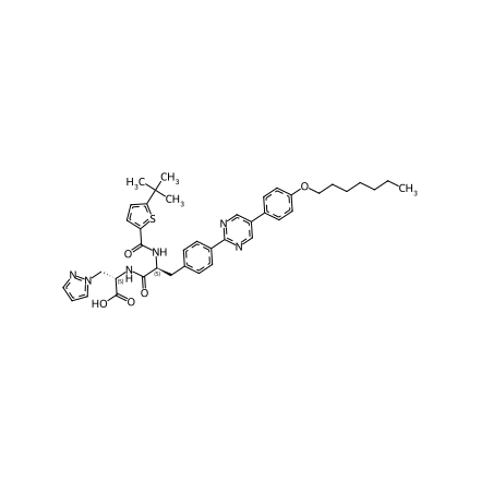 CCCCCCCOc1ccc(-c2cnc(-c3ccc(C[C@H](NC(=O)c4ccc(C(C)(C)C)s4)C(=O)N[C@@H](Cn4cccn4)C(=O)O)cc3)nc2)cc1